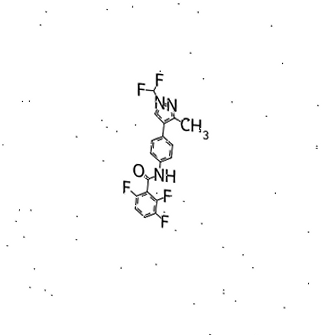 Cc1nn(C(F)F)cc1-c1ccc(NC(=O)c2c(F)ccc(F)c2F)cc1